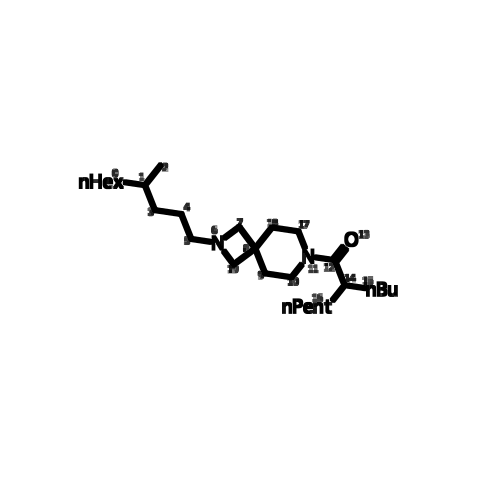 CCCCCCC(C)CCCN1CC2(CCN(C(=O)C(CCCC)CCCCC)CC2)C1